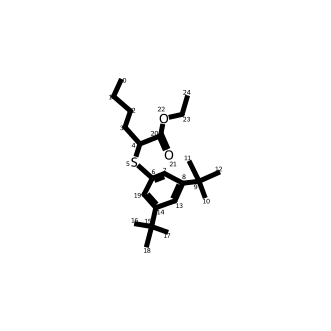 CCCCC(Sc1cc(C(C)(C)C)cc(C(C)(C)C)c1)C(=O)OCC